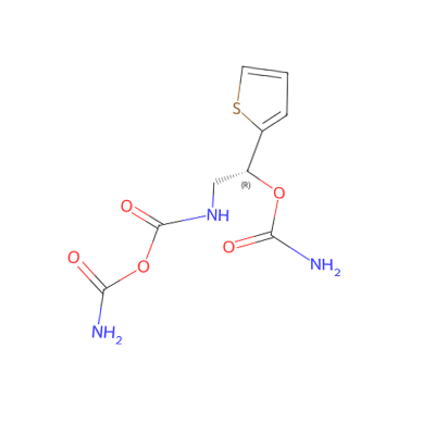 NC(=O)OC(=O)NC[C@@H](OC(N)=O)c1cccs1